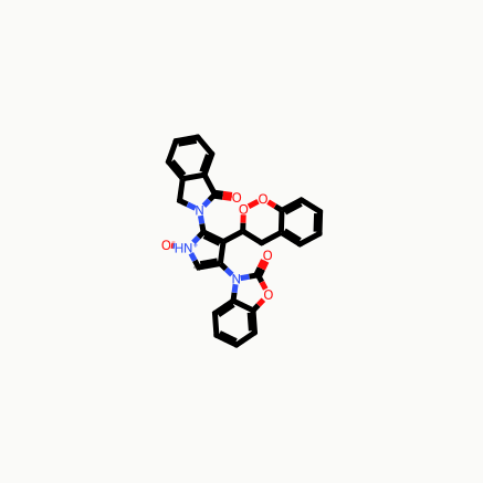 O=C1c2ccccc2CN1C1=C(C2Cc3ccccc3OO2)C(n2c(=O)oc3ccccc32)=[C][NH+]1[O-]